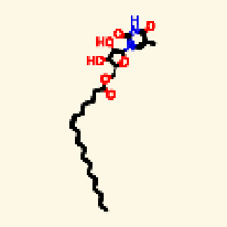 CCCCCCCCCCC/C=C\CCCCC(=O)OC[C@H]1O[C@@H](n2cc(C)c(=O)[nH]c2=O)[C@@H](O)[C@@H]1O